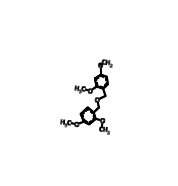 COc1ccc(COCc2ccc(OC)cc2OC)c(OC)c1